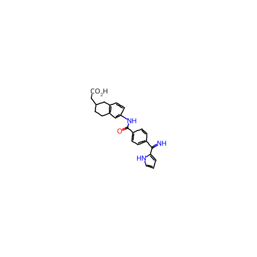 N=C(c1ccc(C(=O)Nc2ccc3c(c2)CCC(CC(=O)O)C3)cc1)c1ccc[nH]1